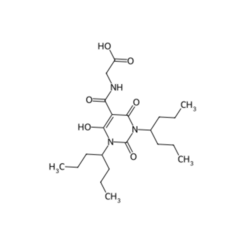 CCCC(CCC)n1c(O)c(C(=O)NCC(=O)O)c(=O)n(C(CCC)CCC)c1=O